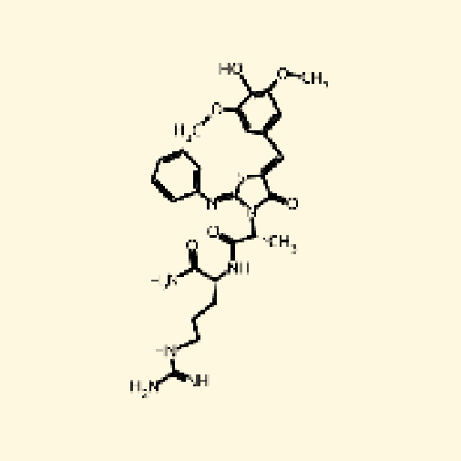 COc1cc(/C=C2\S/C(=N\c3ccccc3)N([C@H](C)C(=O)N[C@@H](CCCNC(=N)N)C(N)=O)C2=O)cc(OC)c1O